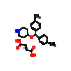 Cc1ccc(C(OC2CCNCC2)c2ccc(C)cc2)cc1.O=C(O)/C=C/C(=O)O